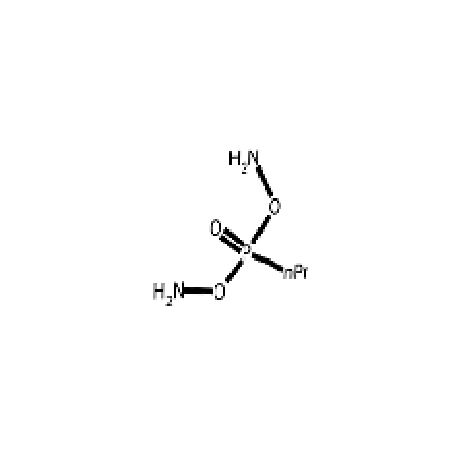 CCCP(=O)(ON)ON